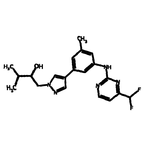 Cc1cc(Nc2nccc(C(F)F)n2)cc(-c2cnn(CC(O)C(C)C)c2)c1